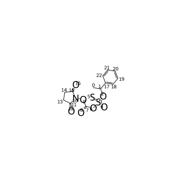 CC(OS(=O)(=S)OC(=O)ON1C(=O)CCC1=O)c1ccccc1